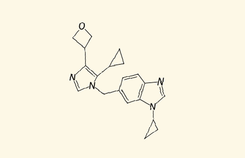 c1cc2ncn(C3CC3)c2cc1Cn1cnc(C2COC2)c1C1CC1